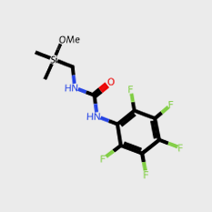 CO[Si](C)(C)CNC(=O)Nc1c(F)c(F)c(F)c(F)c1F